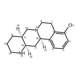 Clc1cccc2c1CCN1C[C@@H]3CCCN[C@@H]3C[C@H]21